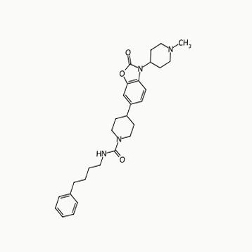 CN1CCC(n2c(=O)oc3cc(C4CCN(C(=O)NCCCCc5ccccc5)CC4)ccc32)CC1